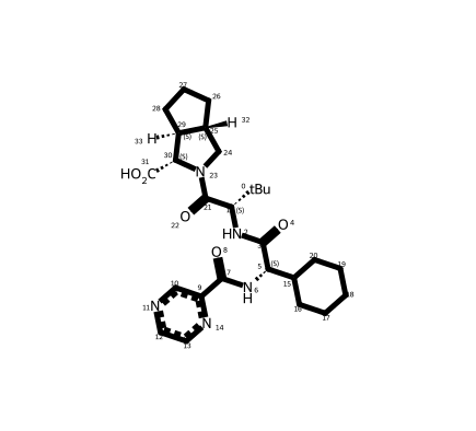 CC(C)(C)[C@H](NC(=O)[C@@H](NC(=O)c1cnccn1)C1CCCCC1)C(=O)N1C[C@H]2CCC[C@@H]2[C@H]1C(=O)O